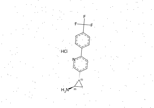 Cl.N[C@@H]1C[C@H]1c1ccc(-c2ccc(C(F)(F)F)cc2)nc1